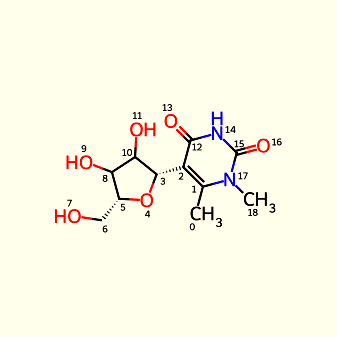 Cc1c([C@@H]2O[C@H](CO)C(O)C2O)c(=O)[nH]c(=O)n1C